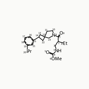 CCC(CNC(=O)OC)C(=O)N1CCC2(CC(c3cccc(C(C)C)c3)C2)C1